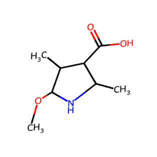 COC1NC(C)C(C(=O)O)C1C